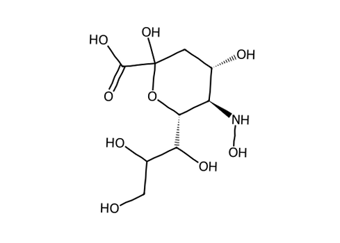 O=C(O)C1(O)C[C@H](O)[C@@H](NO)[C@H](C(O)C(O)CO)O1